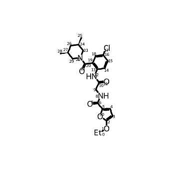 CCOc1ccc(C(=O)NCC(=O)Nc2ccc(Cl)cc2C(=O)N2C[C@H](C)C[C@H](C)C2)o1